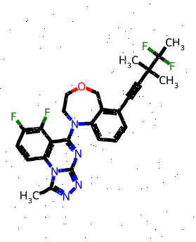 Cc1nnc2nc(N3CCOCc4c(C#CC(C)(C)C(C)(F)F)cccc43)c3c(F)c(F)ccc3n12